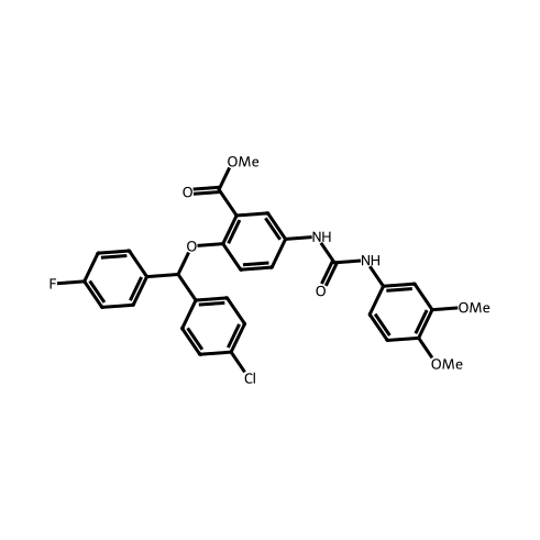 COC(=O)c1cc(NC(=O)Nc2ccc(OC)c(OC)c2)ccc1OC(c1ccc(F)cc1)c1ccc(Cl)cc1